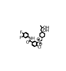 CC(O)C[C@]1(O)CC[C@@H](CS(=O)(=O)c2cc(C(=O)Nc3ccc(F)c(F)c3)ccc2Cl)CC1